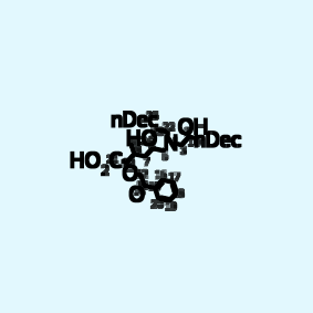 CCCCCCCCCCC(O)CN(CCCC(C)C(OCC(=O)c1ccccc1)C(=O)O)C[C@H](O)CCCCCCCCCC